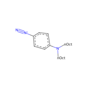 CCCCCCCCN(CCCCCCCC)c1ccc([N+]#N)cc1